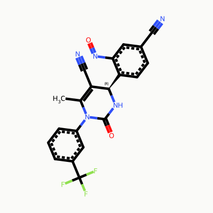 CC1=C(C#N)[C@@H](c2ccc(C#N)cc2N=O)NC(=O)N1c1cccc(C(F)(F)F)c1